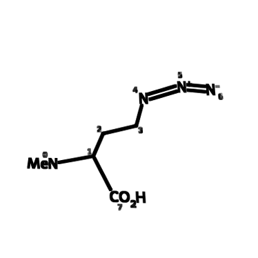 CNC(CCN=[N+]=[N-])C(=O)O